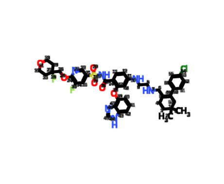 CC1(C)CCC(CNCCNc2ccc(C(=O)NS(=O)(=O)c3cnc(OCC4(F)CCOCC4)c(F)c3)c(Oc3cccc4[nH]cnc34)c2)=C(c2ccc(Cl)cc2)C1